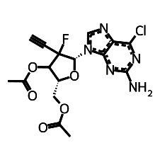 C#CC1(F)C(OC(C)=O)[C@@H](COC(C)=O)O[C@H]1n1cnc2c(Cl)nc(N)nc21